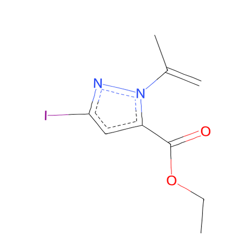 C=C(C)n1nc(I)cc1C(=O)OCC